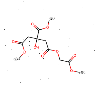 CCCCOC(=O)COC(=O)CC(O)(CC(=O)OCCCC)C(=O)OCCCC